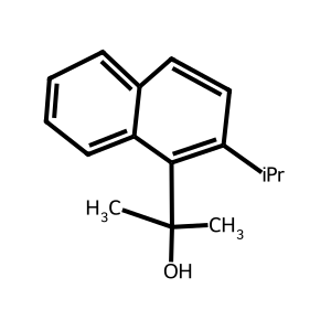 CC(C)c1ccc2ccccc2c1C(C)(C)O